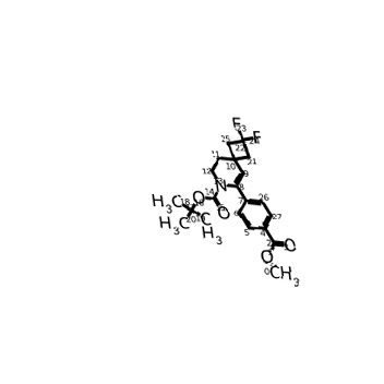 COC(=O)c1ccc(C2=CC3(CCN2C(=O)OC(C)(C)C)CC(F)(F)C3)cc1